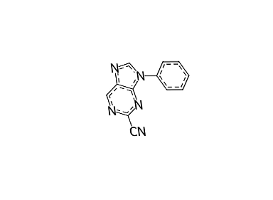 N#Cc1ncc2ncn(-c3ccccc3)c2n1